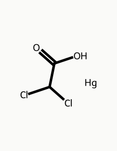 O=C(O)C(Cl)Cl.[Hg]